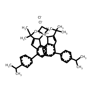 CC(C)c1ccc(-c2cccc3c2C=C(C(C)(C)C)[CH]3[Hf+2]2([CH]3C(C(C)(C)C)=Cc4c(-c5ccc(C(C)C)cc5)cccc43)[CH2]C[CH2]2)cc1.[Cl-].[Cl-]